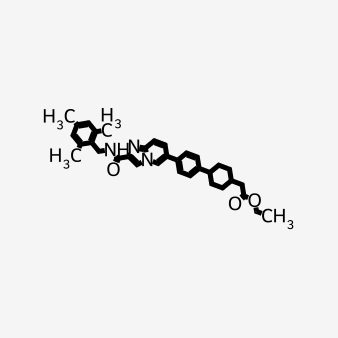 CCOC(=O)CC1CCC(c2ccc(-c3ccc4nc(C(=O)NCc5c(C)cc(C)cc5C)cn4c3)cc2)CC1